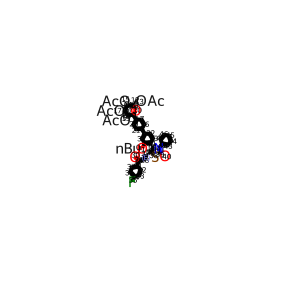 CCCCOc1cc(-c2ccc(C3O[C@H](COC(C)=O)[C@@H](OC(C)=O)[C@H](OC(C)=O)[C@H]3OC(C)=O)cc2)ccc1[C@@H]1[C@@H](/C=C/C(=O)c2ccc(F)cc2)SC(=O)N1c1ccccc1